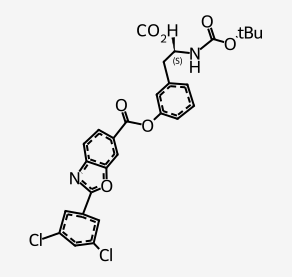 CC(C)(C)OC(=O)N[C@@H](Cc1cccc(OC(=O)c2ccc3nc(-c4cc(Cl)cc(Cl)c4)oc3c2)c1)C(=O)O